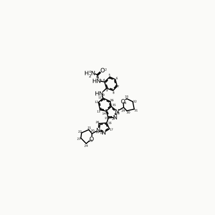 NC(=O)Nc1ccccc1Nc1ccc2c(-c3cnn(C4CCCCO4)c3)nn(C3CCCCO3)c2c1